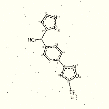 OC(c1ccc(-c2noc(C(F)(F)F)n2)cc1)c1ccno1